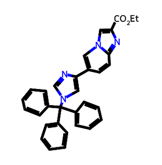 CCOC(=O)c1cn2cc(-c3cn(C(c4ccccc4)(c4ccccc4)c4ccccc4)cn3)ccc2n1